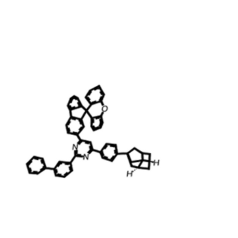 c1ccc(-c2cccc(-c3nc(-c4ccc(C56CC7C[C@@H]8C[C@@H](C5)C78C6)cc4)cc(-c4ccc5c(c4)C4(c6ccccc6Oc6ccccc64)c4ccccc4-5)n3)c2)cc1